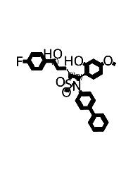 COc1ccc([C@@H]2[C@@H](CC[C@H](O)c3ccc(F)cc3)S(=O)(=O)N2c2ccc(-c3ccccc3)cc2)c(O)c1